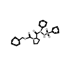 O=C(C1CCCN1C(=O)OCc1ccccc1)N(NS(=O)(=O)c1ccccc1)c1ccccc1